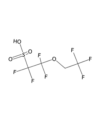 O=S(=O)(O)C(F)(F)C(F)(F)OCC(F)(F)F